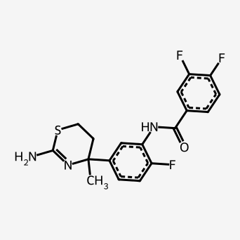 CC1(c2ccc(F)c(NC(=O)c3ccc(F)c(F)c3)c2)CCSC(N)=N1